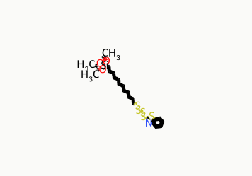 CCO[Si](CCCCCCCCCCCCSSSSc1nc2ccccc2s1)(OCC)OCC